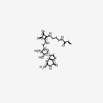 C=CC(=O)NCCCNc1c(NC[C@H]2O[C@H](n3cnc4c(=O)[nH]c(N)nc43)[C@H](O)[C@@H]2O)c(=O)c1=O